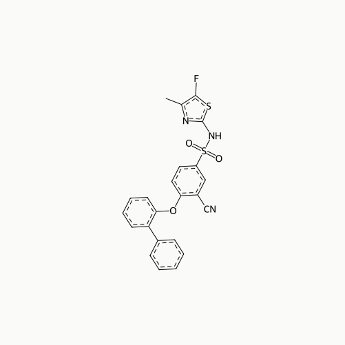 Cc1nc(NS(=O)(=O)c2ccc(Oc3ccccc3-c3ccccc3)c(C#N)c2)sc1F